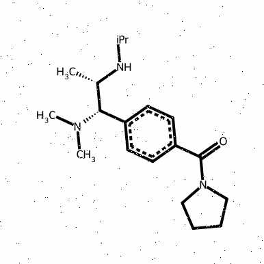 CC(C)N[C@@H](C)[C@H](c1ccc(C(=O)N2CCCC2)cc1)N(C)C